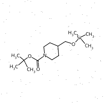 CC(C)(C)OC(=O)N1CCC(CO[Si](C)(C)C)CC1